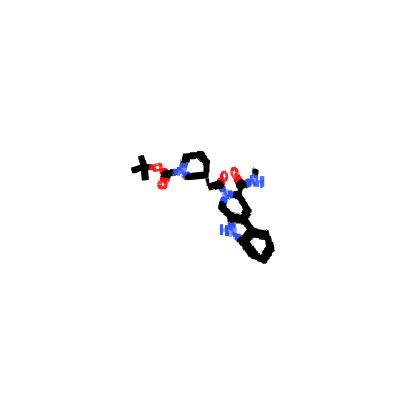 CNC(=O)[C@H]1Cc2c([nH]c3ccccc23)CN1C(=O)C[C@H]1CCCN(C(=O)OC(C)(C)C)C1